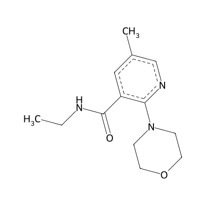 CCNC(=O)c1cc(C)cnc1N1CCOCC1